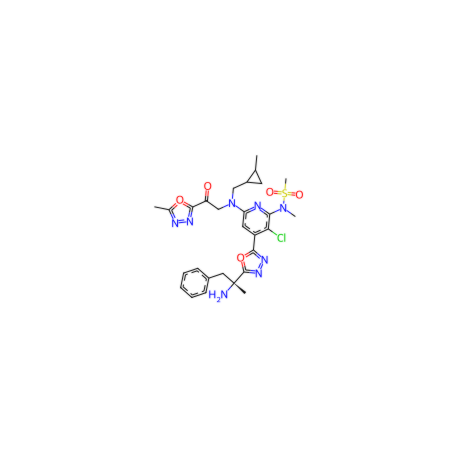 Cc1nnc(C(=O)CN(CC2CC2C)c2cc(-c3nnc([C@](C)(N)Cc4ccccc4)o3)c(Cl)c(N(C)S(C)(=O)=O)n2)o1